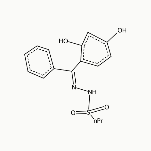 CCCS(=O)(=O)N/N=C(/c1ccccc1)c1ccc(O)cc1O